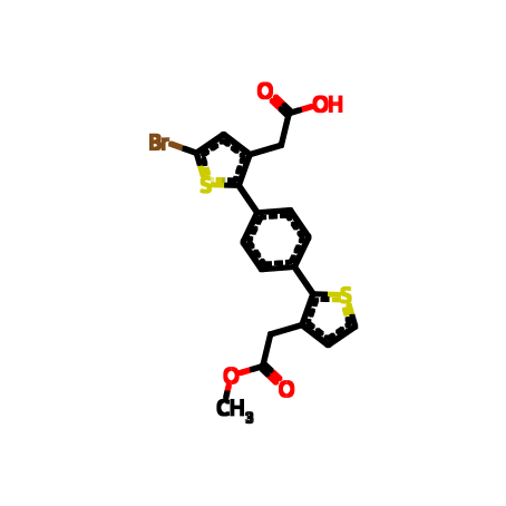 COC(=O)Cc1ccsc1-c1ccc(-c2sc(Br)cc2CC(=O)O)cc1